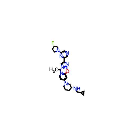 CC(n1cc(-c2cncc(N3CC[C@H](F)C3)n2)nn1)n1ccc(N2CCC[C@@H](NCC3CC3)C2)cc1=O